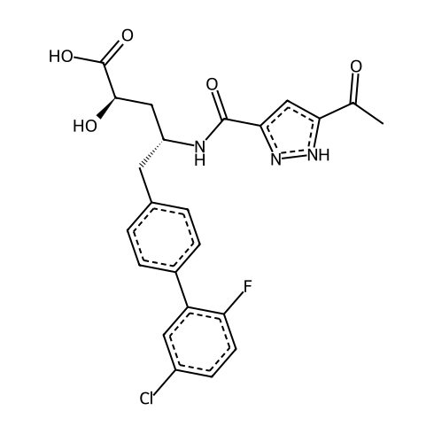 CC(=O)c1cc(C(=O)N[C@H](Cc2ccc(-c3cc(Cl)ccc3F)cc2)C[C@@H](O)C(=O)O)n[nH]1